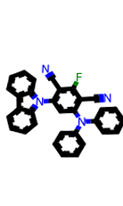 N#Cc1c(N(c2ccccc2)c2ccccc2)cc(-n2c3ccccc3c3ccccc32)c(C#N)c1F